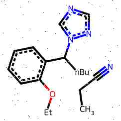 CCC#N.CCCCC(c1ccccc1OCC)n1cncn1